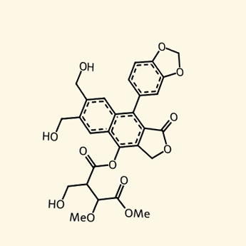 COC(=O)C(OC)C(CO)C(=O)Oc1c2c(c(-c3ccc4c(c3)OCO4)c3cc(CO)c(CO)cc13)C(=O)OC2